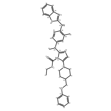 CCOC(=O)[SH]1C(N2CCC(COc3ccccc3)CC2)=CN=C1N(C)c1cc(C)c(Nc2nc3ccccc3s2)nn1